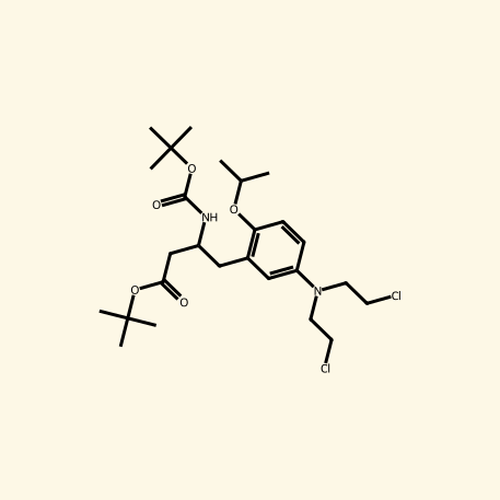 CC(C)Oc1ccc(N(CCCl)CCCl)cc1CC(CC(=O)OC(C)(C)C)NC(=O)OC(C)(C)C